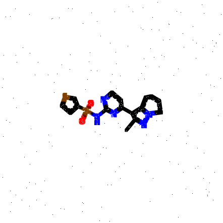 Cc1nn2ccccc2c1-c1ccnc(NS(=O)(=O)c2ccsc2)n1